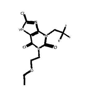 CCOCCn1c(=O)c2[nH]c(Cl)nc2n(CC(F)(F)F)c1=O